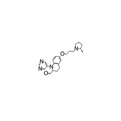 C[C@@H]1CCCN1CCCOc1ccc2c(c1)CCC(C=O)N2c1cncnc1